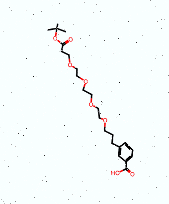 CC(C)(C)OC(=O)CCOCCOCCOCCOCCCc1cccc(C(=O)O)c1